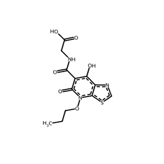 CCCOn1c(=O)c(C(=O)NCC(=O)O)c(O)c2ncsc21